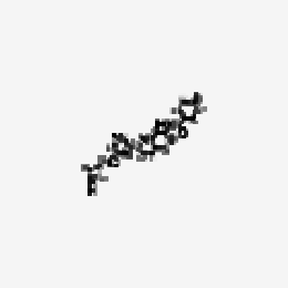 O=C(Nc1cc2nc(-c3cncc(OCC4CNC4)n3)ccc2cn1)c1ccc(F)cc1